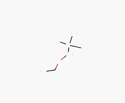 CC(C)(C)[Si](C)(C)[SiH2]OCC=O